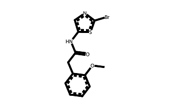 COc1ccccc1CC(=O)Nc1cnc(Br)s1